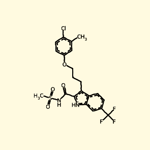 Cc1cc(OCCCc2c(C(=O)NS(C)(=O)=O)[nH]c3cc(C(F)(F)F)ccc23)ccc1Cl